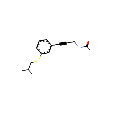 CCC(CC)CSc1cccc(C#CCNC(=O)C(F)(F)F)c1